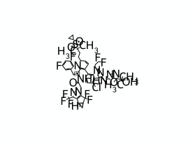 CC(C)(O)c1nnc(Nc2nn(CC(F)F)c3c(-c4ccc(CCC(C)(C)S(=O)(=O)C5CC5)nc4[C@H](Cc4cc(F)cc(F)c4)NC(=O)Cn4nc(C(F)(F)F)c5c4C(F)(F)C4C[C@H]54)ccc(Cl)c23)o1